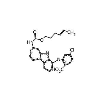 CC=CCCCOC(=O)Nc1cccc2c3cccc(N)c3nc-2c1.O=C(O)c1ccc(Cl)cc1